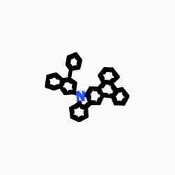 c1ccc(-c2cc(-n3c4ccccc4c4cc5c6ccccc6c6ccccc6c5cc43)cc3ccccc23)cc1